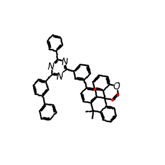 CC1(C)c2ccccc2C2(c3ccccc3Oc3ccccc32)c2cc(-c3cccc(-c4nc(-c5ccccc5)nc(-c5cccc(-c6ccccc6)c5)n4)c3)ccc21